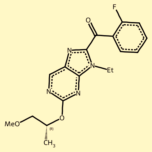 CCn1c(C(=O)c2ccccc2F)nc2cnc(O[C@H](C)COC)nc21